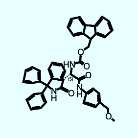 COCc1ccc(NC(=O)[C@H](CC(=O)NC(c2ccccc2)(c2ccccc2)c2ccccc2)NC(=O)OCC2c3ccccc3-c3ccccc32)cc1